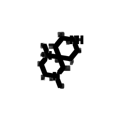 CN1CCN(C)C2(CCNCC2)C1